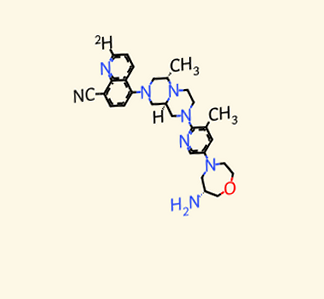 [2H]c1ccc2c(N3C[C@@H]4CN(c5ncc(N6CCOC[C@H](N)C6)cc5C)CCN4[C@@H](C)C3)ccc(C#N)c2n1